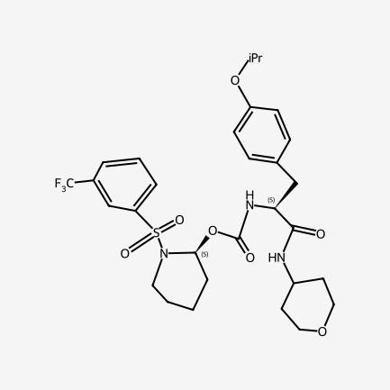 CC(C)Oc1ccc(C[C@H](NC(=O)O[C@H]2CCCCN2S(=O)(=O)c2cccc(C(F)(F)F)c2)C(=O)NC2CCOCC2)cc1